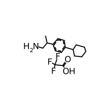 CC(CN)c1ccc(C2CCCCC2)cc1.O=C(O)C(F)(F)F